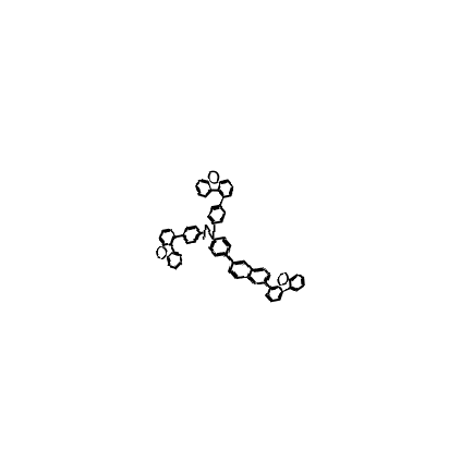 c1ccc2c(c1)oc1c(-c3ccc4cc(-c5ccc(N(c6ccc(-c7cccc8oc9ccccc9c78)cc6)c6ccc(-c7cccc8oc9ccccc9c78)cc6)cc5)ccc4c3)cccc12